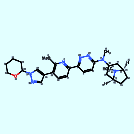 COc1nc(-c2ccc(N(C)C3C[C@H]4CC[C@@H](C3)N4C(=O)O)nn2)ccc1-c1cnn(C2CCCCO2)c1